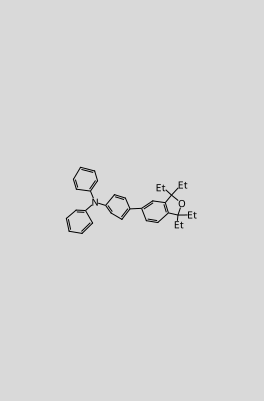 CCC1(CC)OC(CC)(CC)c2cc(-c3ccc(N(c4ccccc4)c4ccccc4)cc3)ccc21